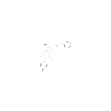 C[C@]12C=CC(=O)C=C1CC[C@@H]1C2[C@@H](O)C[C@@]2(C)C1C[C@@H](CN(O)Cc1cccnc1)[C@@H]2C(=O)CO